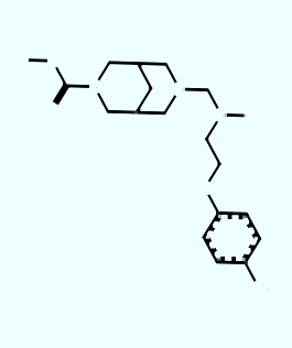 CCNC(=O)N1CC2CC(CN(CN(CCOc3ccc(C#N)cc3)C(=O)O)C2)C1